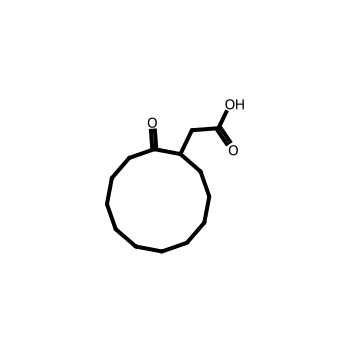 O=C(O)CC1CCCCCCCCCCC1=O